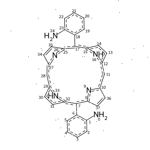 Nc1ccccc1-c1c2nc(cc3ccc([nH]3)c(-c3ccccc3N)c3nc(cc4ccc1[nH]4)C=C3)C=C2